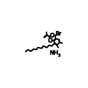 C=C(C)C(=O)Oc1c(CBr)cc(C)c(C)c1CCCCCCCCCCC.N